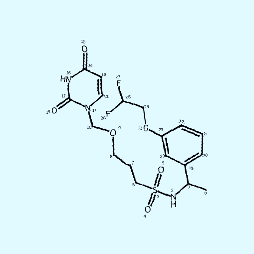 CC(NS(=O)(=O)CCCOCn1ccc(=O)[nH]c1=O)c1cccc(OCC(F)F)c1